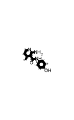 Cc1ccnc(N)c1C(=O)Nc1ccc(O)cc1